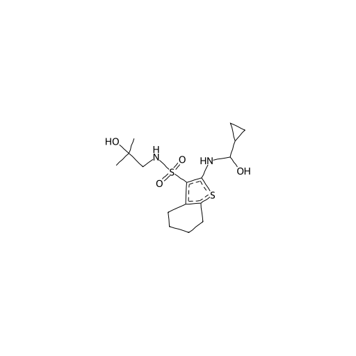 CC(C)(O)CNS(=O)(=O)c1c(NC(O)C2CC2)sc2c1CCCC2